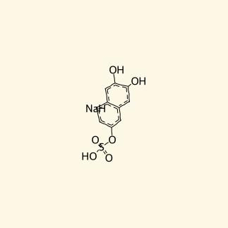 O=S(=O)(O)Oc1ccc2cc(O)c(O)cc2c1.[NaH]